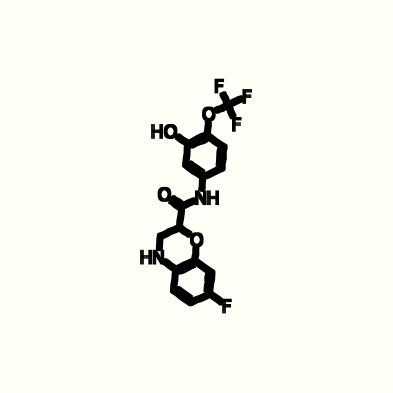 O=C(Nc1ccc(OC(F)(F)F)c(O)c1)C1CNc2ccc(F)cc2O1